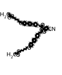 C=CC(=O)OCCCCCCOc1ccc(-c2ccc(C3CCC(CCC(=O)Oc4cc(C#N)ccc4OC(=O)CC[C@H]4CC[C@H](c5ccc(-c6ccc(OCCCCCCOC(=O)C=C)cc6)cc5)CC4)CC3)cc2)cc1